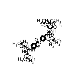 CC(C)(C)OC(=O)C[C@H](NS(=O)(=O)N(Cc1ccc(OC(=O)c2ccc(NC(=NC(=O)OC(C)(C)C)NC(=O)OC(C)(C)C)cc2F)cc1)C(=O)OC(C)(C)C)C(=O)OC(C)(C)C